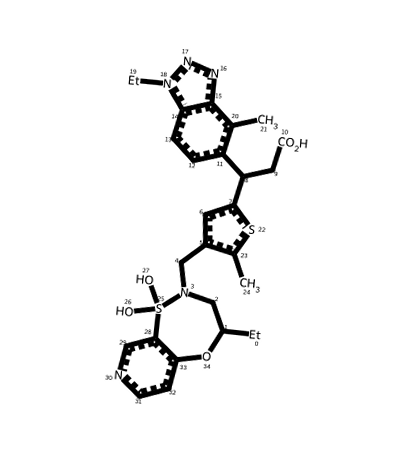 CCC1CN(Cc2cc(C(CC(=O)O)c3ccc4c(nnn4CC)c3C)sc2C)S(O)(O)c2cnccc2O1